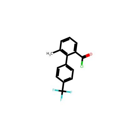 Cc1cccc(C(=O)Cl)c1-c1ccc(C(F)(F)F)cc1